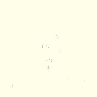 O=C(/N=C(/Nc1cc(F)cc(Cl)c1)NC1CC(c2ccc(F)cc2)NN1)c1ccc(C(F)(F)F)cc1